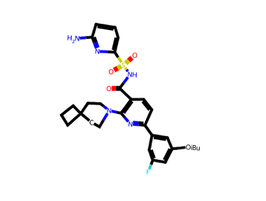 CC(C)COc1cc(F)cc(-c2ccc(C(=O)NS(=O)(=O)c3cccc(N)n3)c(N3CCC4(CCC4)CC3)n2)c1